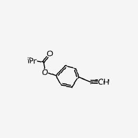 C#Cc1ccc(OC(=O)C(C)C)cc1